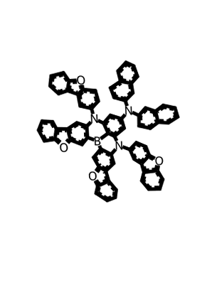 c1ccc2cc(N(c3cc4c5c(c3)N(c3ccc6oc7ccccc7c6c3)c3cc6c(cc3B5c3cc5oc7ccccc7c5cc3N4c3ccc4oc5ccccc5c4c3)oc3ccccc36)c3ccc4ccccc4c3)ccc2c1